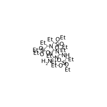 CCO[Si](OCC)(OCC)C(CC)Nc1nc(N)nc(N(C(CC)[Si](OCC)(OCC)OCC)C(CC)[Si](OCC)(OCC)OCC)n1